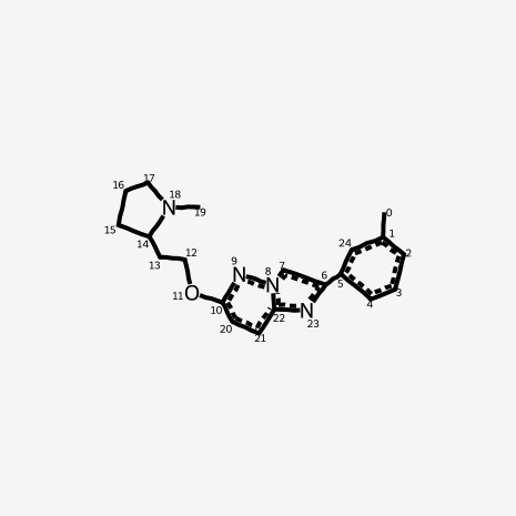 Cc1cccc(-c2cn3nc(OCCC4CCCN4C)ccc3n2)c1